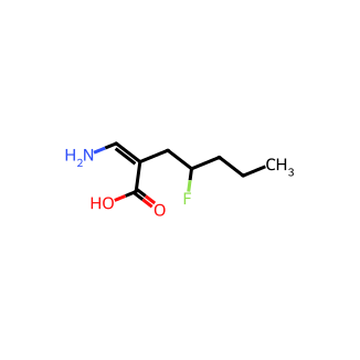 CCCC(F)CC(=CN)C(=O)O